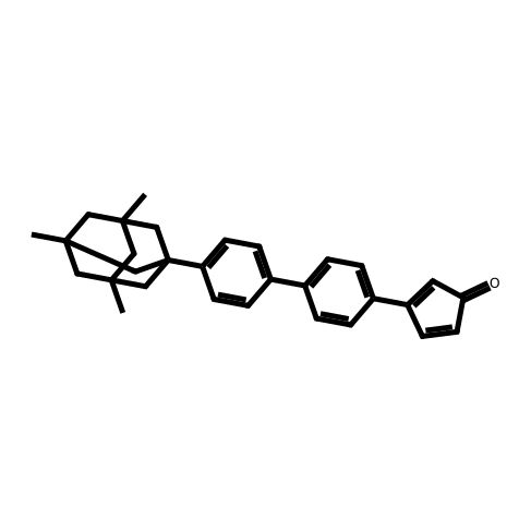 CC12CC3(C)CC(C)(C1)CC(c1ccc(-c4ccc(C5=CC(=O)C=C5)cc4)cc1)(C2)C3